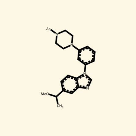 COC(C)c1ccc2c(c1)ncn2-c1cccc(N2CCN(C(C)=O)CC2)c1